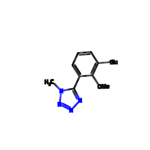 COc1c(-c2nnnn2C)cccc1C(C)(C)C